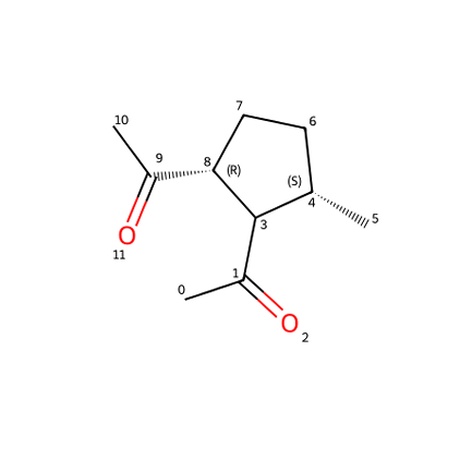 CC(=O)C1[C@@H](C)CC[C@H]1C(C)=O